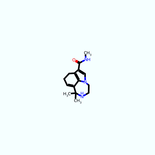 CNC(=O)c1cn2c3c1CCC=C3C(C)(C)NCC2